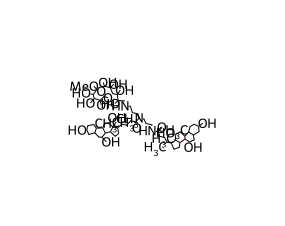 COC1OC(OC(C(O)CO)C(O)C(O)CNCCCN(CCCNC(=O)CCC(C)C2CCC3C4C(O)CC5CC(O)CCC5(C)C4CC(O)C23C)C(=O)CCC(C)C2CCC3C4C(O)CC5CC(O)CCC5(C)C4CC(O)C23C)C(O)C(O)C1O